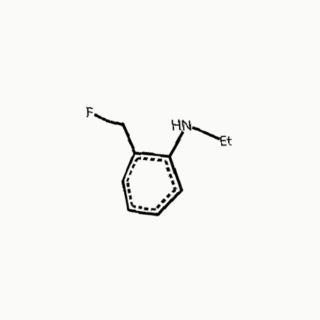 CCNc1ccccc1CF